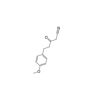 COc1ccc(CCC(=O)CC#N)cc1